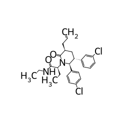 C=CC[C@H]1C[C@H](c2cccc(Cl)c2)[C@@H](c2ccc(Cl)cc2)N([C@@H](CC)C(=O)NCC)C1=O